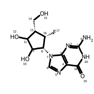 Nc1nc2c(ncn2[C@@H]2C(O)C(O)[C@H](CO)[C@@H]2F)c(=O)[nH]1